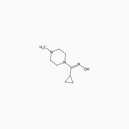 CN1CCN(C(=NO)C2CC2)CC1